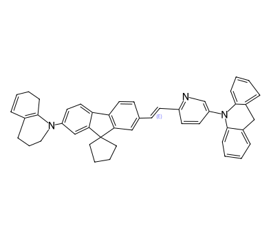 C1=CC2=C(CC1)N(c1ccc3c(c1)C1(CCCC1)c1cc(/C=C/c4ccc(N5c6ccccc6Cc6ccccc65)cn4)ccc1-3)CCC2